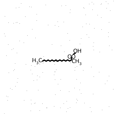 CCCCCCCC/C=C/CCCCCCC(C)C(=O)OCCO